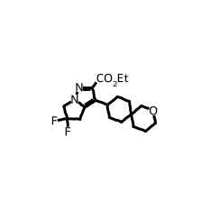 CCOC(=O)c1nn2c(c1C1CCC3(CCCOC3)CC1)CC(F)(F)C2